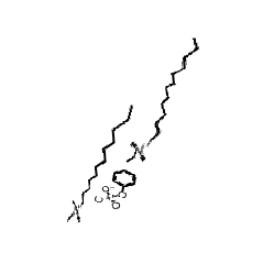 CCCCCCCCCCCC[N+](C)(C)C.CCCCCCCCCCCC[N+](C)(C)C.O=P([O-])([O-])Oc1ccccc1